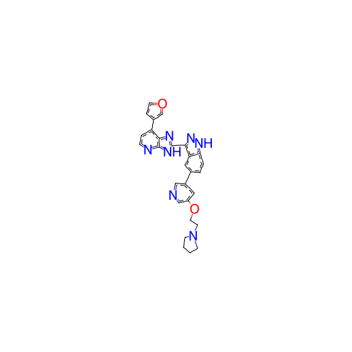 c1cc(-c2ccoc2)c2nc(-c3n[nH]c4ccc(-c5cncc(OCCN6CCCC6)c5)cc34)[nH]c2n1